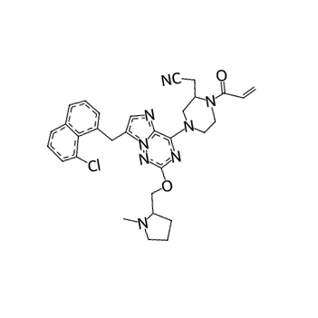 C=CC(=O)N1CCN(c2nc(OCC3CCCN3C)nn3c(Cc4cccc5cccc(Cl)c45)cnc23)CC1CC#N